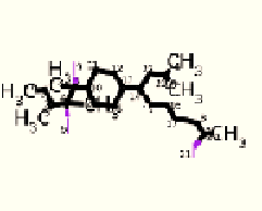 CCC(C)C(C)(I)C(C)(I)C1CCC(C(CCCCC(C)I)CC(C)C)CC1